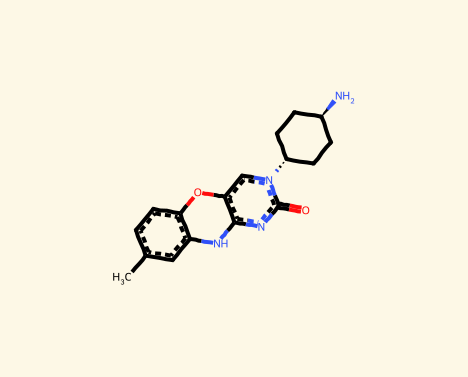 Cc1ccc2c(c1)Nc1nc(=O)n([C@H]3CC[C@H](N)CC3)cc1O2